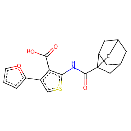 O=C(O)c1c(-c2ccco2)csc1NC(=O)C12CC3CC(CC1C3)C2